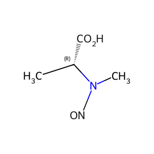 C[C@H](C(=O)O)N(C)N=O